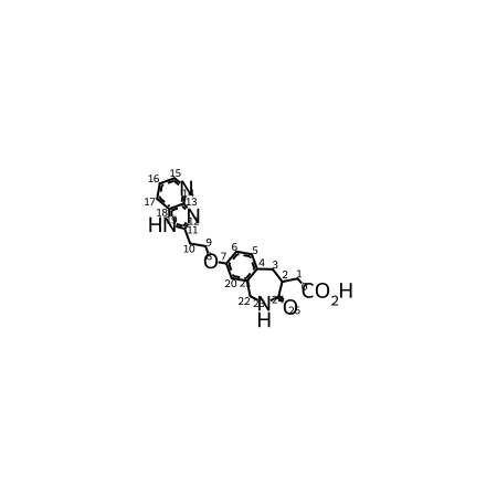 O=C(O)CC1Cc2ccc(OCCc3nc4ncccc4[nH]3)cc2CNC1=O